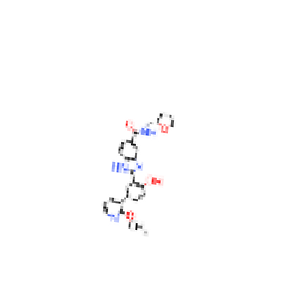 COc1ncccc1-c1ccc(O)c(-c2nc3cc(C(=O)NC[C@@H]4CCCO4)ccc3[nH]2)c1